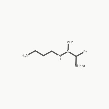 [CH2]CCCCCCC(CC)N(CCC)NCCCN